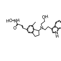 Cc1cc(C=CC(=O)NO)cc2c1C(N(CCO)CCc1c[nH]c3ccccc13)CC2